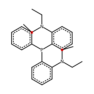 CCN(CC)c1ccccc1P(c1ccccc1)c1ccccc1N(CC)CC